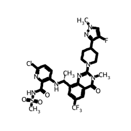 C[C@@H](Nc1ccc(Cl)nc1C(=O)NS(C)(=O)=O)c1cc(C(F)(F)F)cc2c(=O)n(C)c(N3CCC(c4nn(C)cc4F)CC3)nc12